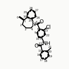 C=C1CCCN(C(=O)c2ccc(NC(=O)c3ccccc3C)cc2Cl)c2ccccc21